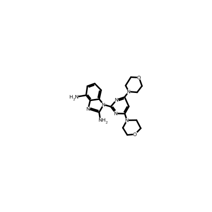 Nc1cccc2c1nc(N)n2-c1nc(N2CCOCC2)cc(N2CCOCC2)n1